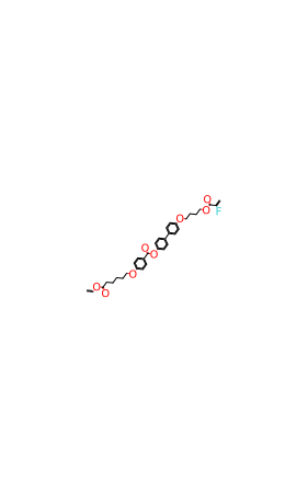 C=COC(=O)CCCCCOc1ccc(C(=O)Oc2ccc(-c3ccc(OCCCCOC(=O)C(=C)F)cc3)cc2)cc1